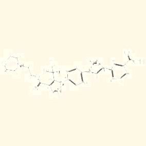 O=C(O)c1cccc(-c2cn(-c3ccc(-n4ncc(C(=O)OCCN5CCOCC5)c4C(F)(F)F)cc3)nn2)c1